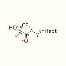 CCCCCCCCCC(=O)C(C)(O)C(F)(F)F